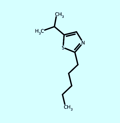 CCCCCc1ncc(C(C)C)s1